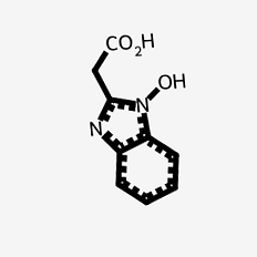 O=C(O)Cc1nc2ccccc2n1O